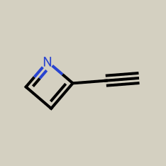 C#CC1=CC=N1